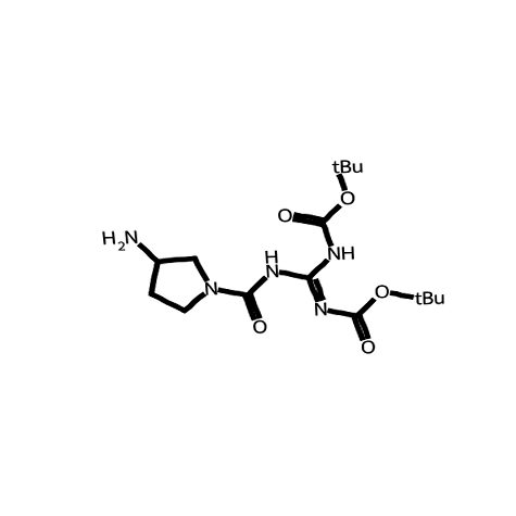 CC(C)(C)OC(=O)N=C(NC(=O)OC(C)(C)C)NC(=O)N1CCC(N)C1